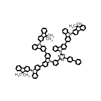 CC1(C)c2ccccc2-c2ccc(-n3c4ccccc4c4cc(-c5ccc6c(c5)c5cc(-c7ccc8c(c7)c7ccccc7n8-c7ccc8c(c7)C(C)(C)c7ccccc7-8)ccc5n6-c5cccc(-c6nc(-c7ccc(-c8ccccc8)cc7)nc(-n7c8ccccc8c8cc(-c9ccc%10c(c9)c9ccccc9n%10-c9ccc%10c(c9)C(C)(C)c9ccccc9-%10)ccc87)n6)c5)ccc43)cc21